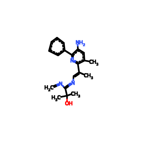 C=N/C(=N\C=C(/C)c1nc(-c2ccccc2)c(N)cc1C)C(C)(C)O